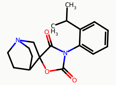 CC(C)c1ccccc1N1C(=O)OC2(CN3CCC2CC3)C1=O